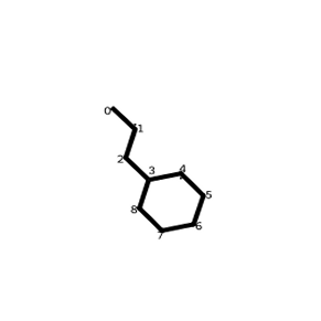 C[CH]CC1[CH]CCCC1